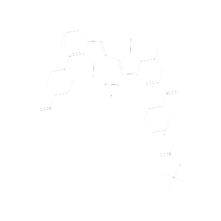 CC(=O)N1CCC(c2cccc3cc(-c4nn5cc(C(=O)N6CCC[C@@H](OC(=O)NC(C)(C)C)C6)cc(F)c5c4C)n(CC4CC4)c23)CC1